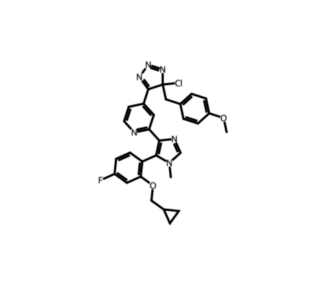 COc1ccc(CC2(Cl)N=NN=C2c2ccnc(-c3ncn(C)c3-c3ccc(F)cc3OCC3CC3)c2)cc1